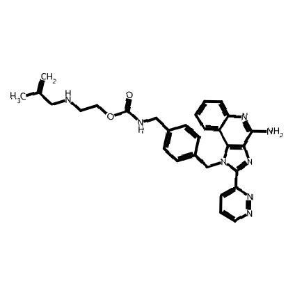 C=C(C)CNCCOC(=O)NCc1ccc(Cn2c(-c3cccnn3)nc3c(N)nc4ccccc4c32)cc1